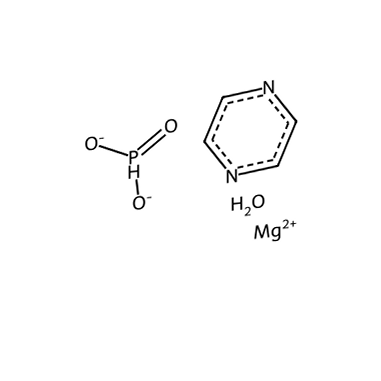 O.O=[PH]([O-])[O-].[Mg+2].c1cnccn1